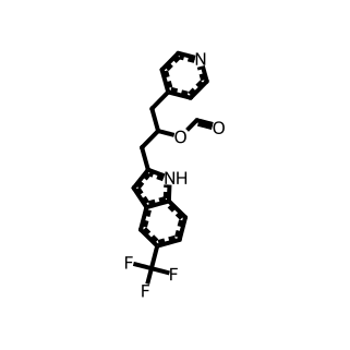 O=COC(Cc1ccncc1)Cc1cc2cc(C(F)(F)F)ccc2[nH]1